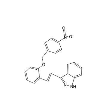 O=[N+]([O-])c1ccc(COc2ccccc2C=Cc2n[nH]c3ccccc23)cc1